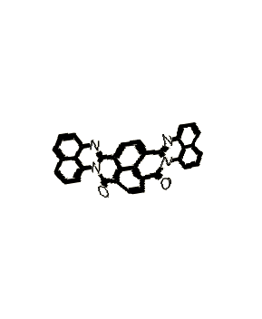 O=c1c2ccc3c(=O)n4c5cccc6cccc(nc4c4ccc(c7n1C1=CC=CC8=CC=CC(N=7)C81)c2c34)c65